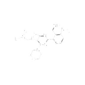 CCN(Cp1sc2nc(-c3cccc(N)c3C=N)nc(N3CCOCC3)c21)C(C)=O